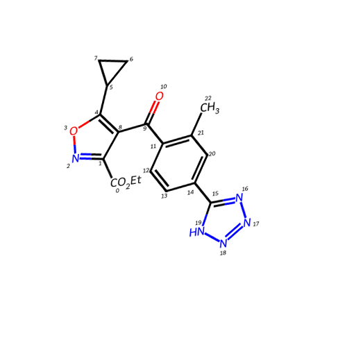 CCOC(=O)c1noc(C2CC2)c1C(=O)c1ccc(-c2nnn[nH]2)cc1C